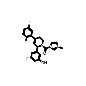 C[n+]1ccn(C(=O)N2CCC(c3cc(F)ccc3F)=CC2c2cccc(O)c2)c1.[I-]